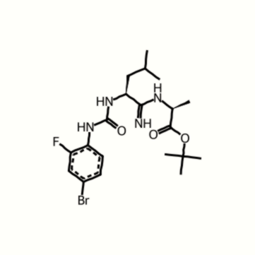 CC(C)C[C@H](NC(=O)Nc1ccc(Br)cc1F)C(=N)N[C@@H](C)C(=O)OC(C)(C)C